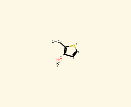 O=Cc1cccs1.[K+].[OH-]